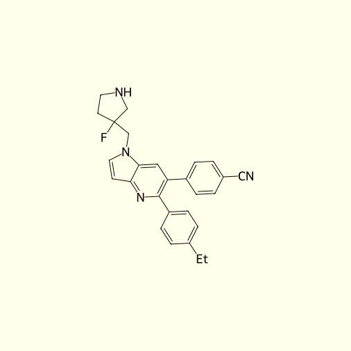 CCc1ccc(-c2nc3ccn(CC4(F)CCNC4)c3cc2-c2ccc(C#N)cc2)cc1